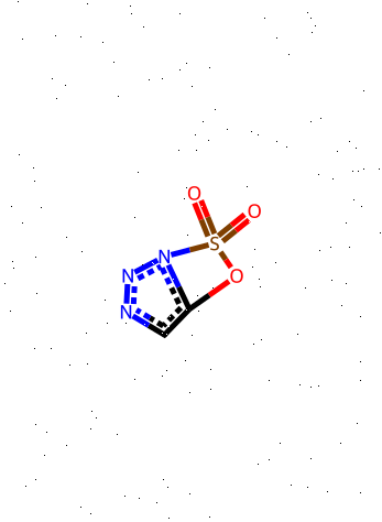 O=S1(=O)Oc2cnnn21